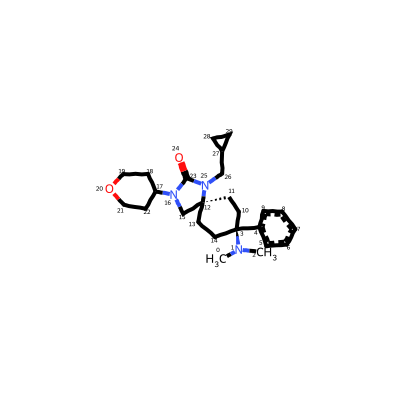 CN(C)[C@]1(c2ccccc2)CC[C@]2(CC1)CN(C1CCOCC1)C(=O)N2CC1CC1